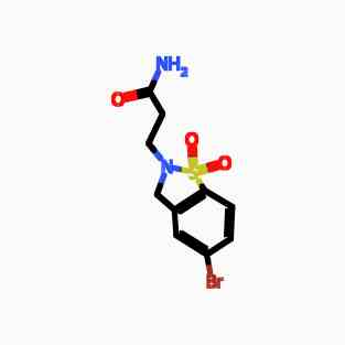 NC(=O)CCN1Cc2cc(Br)ccc2S1(=O)=O